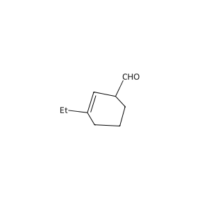 CCC1=CC(C=O)CCC1